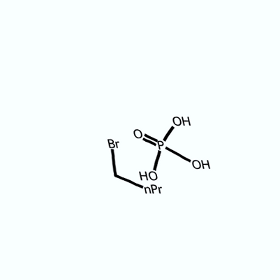 CCCCBr.O=P(O)(O)O